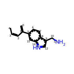 C=C(/C=C\C)c1ccc2c(CN)c[nH]c2c1